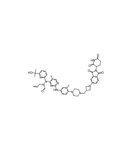 C=CCN(C=O)N(c1cccc(C(C)(C)O)n1)c1nc(Nc2ccc(N3CCN(CC4CN(c5ccc6c(c5)C(=O)N(C5CCC(=O)NC5=O)C6=O)C4)CC3)c(C)c2)ncc1C